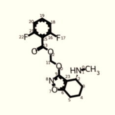 CN[C@@H]1CCCc2onc(OCOC(=O)c3c(F)cccc3F)c21